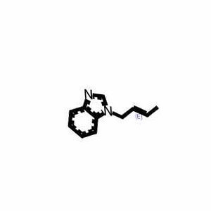 C/C=C/Cn1cnc2ccccc21